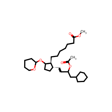 COC(=O)CCCCCC[C@@H]1C(OC2CCCCO2)CC[C@H]1C=CC(CC1CCCCC1)OC(C)=O